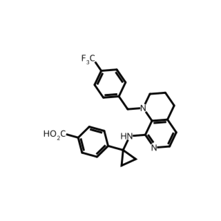 O=C(O)c1ccc(C2(Nc3nccc4c3N(Cc3ccc(C(F)(F)F)cc3)CCC4)CC2)cc1